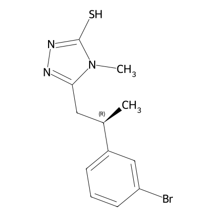 C[C@H](Cc1nnc(S)n1C)c1cccc(Br)c1